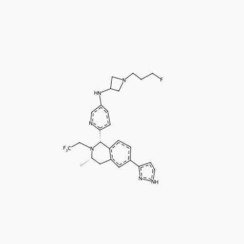 C[C@H]1Cc2cc(-c3cc[nH]n3)ccc2[C@@H](c2ccc(NC3CN(CCCF)C3)cn2)N1CC(F)(F)F